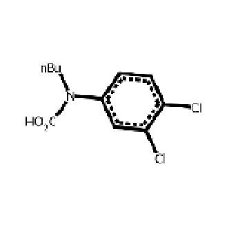 CCCCN(C(=O)O)c1ccc(Cl)c(Cl)c1